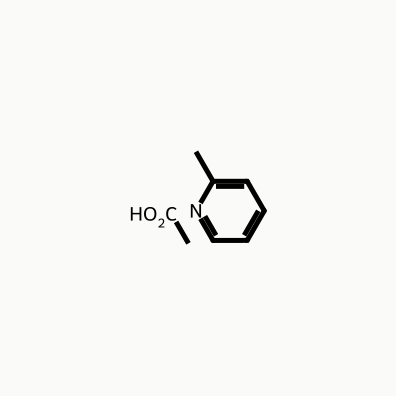 CC(=O)O.Cc1ccccn1